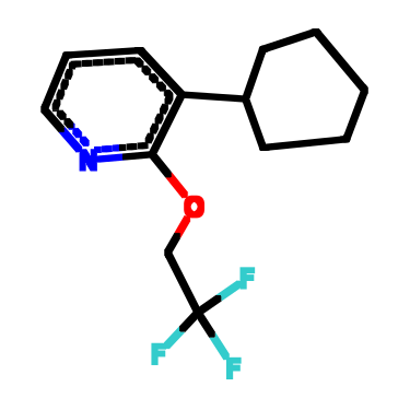 FC(F)(F)COc1ncccc1C1CCCCC1